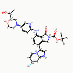 C[C@H](O)[C@H]1CN(c2ccc(Nc3ccc(-c4cnc5cc(F)ccn45)c4c3C(=O)N(C(=O)OC(C)(C)C)C4)nc2)CCO1